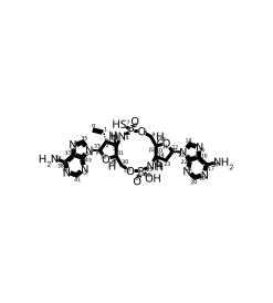 C=C[C@@H]1[C@@H]2NP(=O)(S)OC[C@H]3O[C@@H](n4cnc5c(N)ncnc54)C[C@@H]3NP(=O)(O)OC[C@H]2O[C@H]1n1cnc2c(N)ncnc21